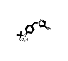 CC(C)c1cnn(Cc2ccc(OC(C)(C)C(=O)O)cc2)c1